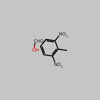 Cc1c([N+](=O)[O-])cccc1[N+](=O)[O-].O=CO